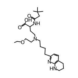 CCOCCN(CCCCc1ccc2c(n1)NCCC2)CCC(NC(=O)CC(C)(C)C)C(=O)O